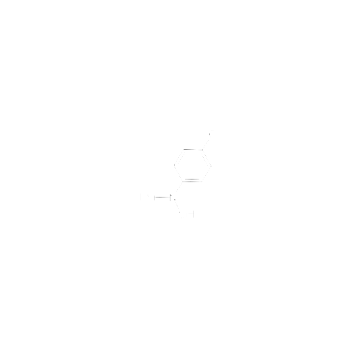 [SiH3]N([SiH3])c1ccc(Cl)cc1